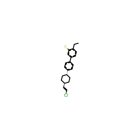 CCc1ccc(-c2ccc([C@H]3CC[C@H](/C=C/Cl)CC3)cc2)cc1F